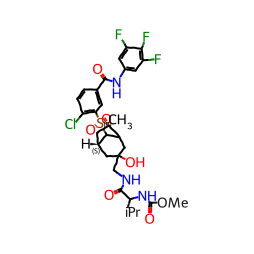 COC(=O)NC(C(=O)NCC1(O)CC2C(S(=O)(=O)c3cc(C(=O)Nc4cc(F)c(F)c(F)c4)ccc3Cl)[C@@H](C[C@H]2C)C1)C(C)C